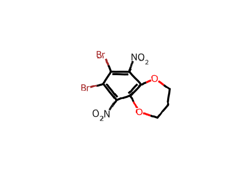 O=[N+]([O-])c1c(Br)c(Br)c([N+](=O)[O-])c2c1OCCCO2